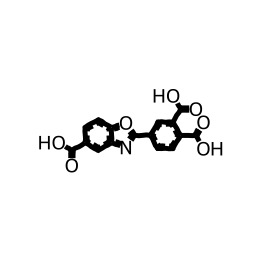 O=C(O)c1ccc2oc(-c3ccc(C(=O)O)c(C(=O)O)c3)nc2c1